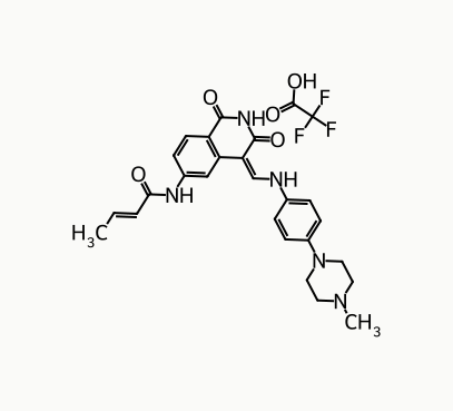 CC=CC(=O)Nc1ccc2c(c1)C(=CNc1ccc(N3CCN(C)CC3)cc1)C(=O)NC2=O.O=C(O)C(F)(F)F